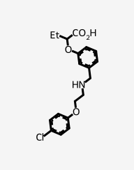 CCC(Oc1cccc(CNCCOc2ccc(Cl)cc2)c1)C(=O)O